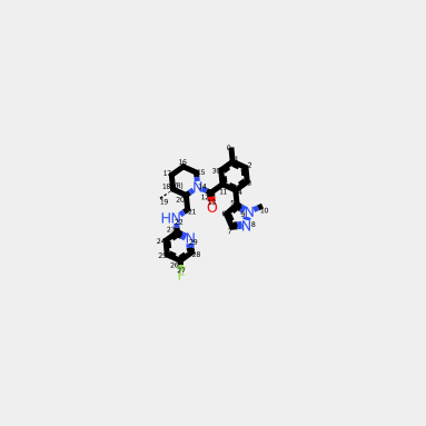 Cc1ccc(-c2ccnn2C)c(C(=O)N2CCC[C@@H](C)C2CNc2ccc(F)cn2)c1